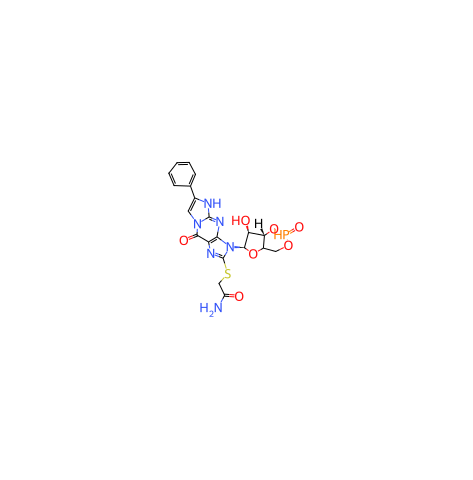 NC(=O)CSc1nc2c(=O)n3cc(-c4ccccc4)[nH]c3nc2n1[C@@H]1OC2CO[PH](=O)O[C@H]2[C@@H]1O